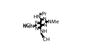 C#CCNc1nc(NC)nc2c(NCCC)nc(NC)nc12.Cl